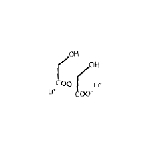 O=C([O-])CO.O=C([O-])CO.[Li+].[Li+]